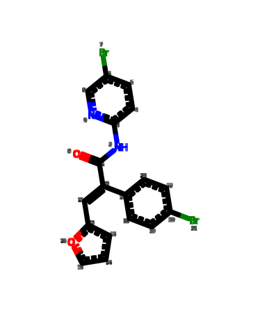 O=C(Nc1ccc(Br)cn1)/C(=C/c1ccco1)c1ccc(Br)cc1